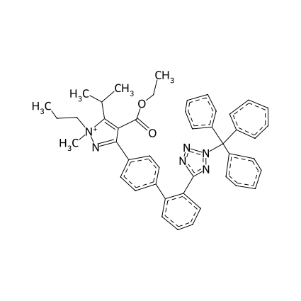 CCC[N+]1(C)N=C(c2ccc(-c3ccccc3-c3nnn(C(c4ccccc4)(c4ccccc4)c4ccccc4)n3)cc2)C(C(=O)OCC)=C1C(C)C